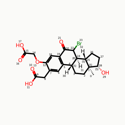 C[C@]12CC[C@@H]3c4cc(CC(=O)O)c(OCC(=O)O)cc4C(=O)C(Br)[C@H]3[C@@H]1CC[C@@H]2O